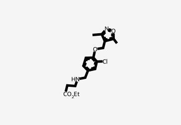 CCOC(=O)CCNCc1ccc(OCc2c(C)noc2C)c(Cl)c1